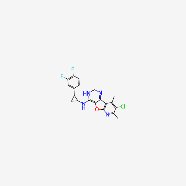 Cc1nc2oc3c(c2c(C)c1Cl)=NCNC=3NC1CC1c1ccc(F)c(F)c1